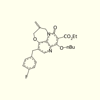 C=C1COc2c(Cc3ccc(F)cc3)cnc3c(OCCCC)c(C(=O)OCC)c(=O)n(c23)C1